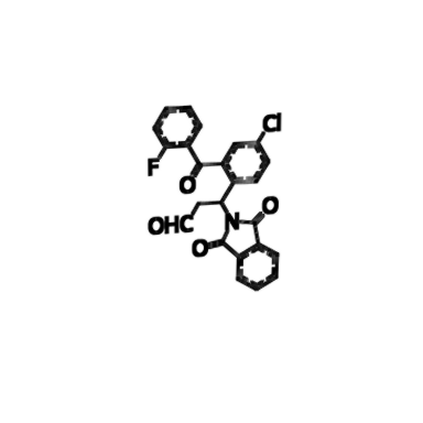 O=CCC(c1ccc(Cl)cc1C(=O)c1ccccc1F)N1C(=O)c2ccccc2C1=O